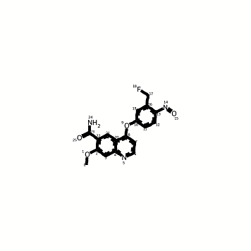 COc1cc2nccc(Oc3ccc(N=O)c(CF)c3)c2cc1C(N)=O